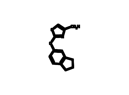 O=C(O)c1coc(Oc2ccc3c(c2)CCC3)n1